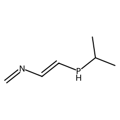 C=NC=CPC(C)C